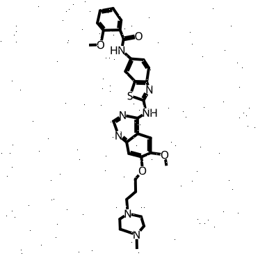 COc1cc2c(Nc3nc4ccc(NC(=O)c5ccccc5OC)cc4s3)ncnc2cc1OCCCN1CCN(C)CC1